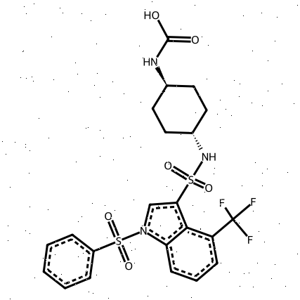 O=C(O)N[C@H]1CC[C@H](NS(=O)(=O)c2cn(S(=O)(=O)c3ccccc3)c3cccc(C(F)(F)F)c23)CC1